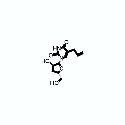 C=CCc1cn([C@@H]2O[C@H](CO)C[C@H]2O)c(=O)[nH]c1=O